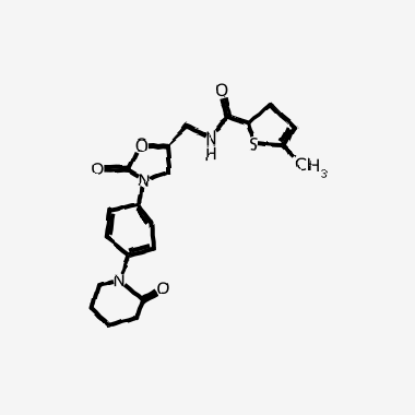 CC1=CCC(C(=O)NC[C@H]2CN(c3ccc(N4CCCCC4=O)cc3)C(=O)O2)S1